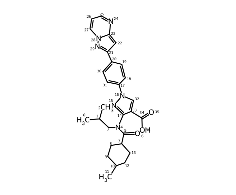 CC(C)CN(C(=O)C1CCC(C)CC1)c1nn(-c2ccc(-c3cc4ncccn4n3)cc2)cc1C(=O)O